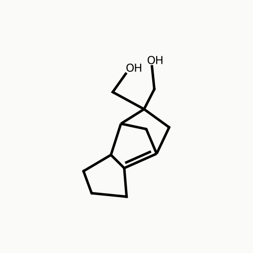 OCC1(CO)CC2=C3CCCC3C1C2